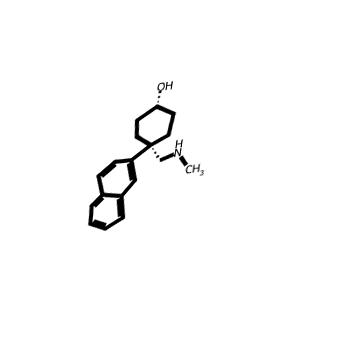 CNC[C@]1(c2ccc3ccccc3c2)CC[C@H](O)CC1